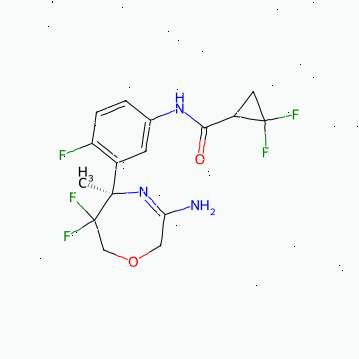 C[C@]1(c2cc(NC(=O)C3CC3(F)F)ccc2F)N=C(N)COCC1(F)F